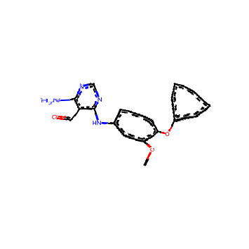 COc1cc(Nc2ncnc(N)c2C=O)ccc1Oc1ccccc1